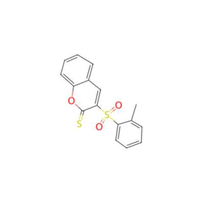 Cc1ccccc1S(=O)(=O)c1cc2ccccc2oc1=S